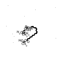 CC/C=C\C/C=C\C/C=C\CCCCCCCC(=O)OC[C@@H](C)O.C[N+](C)(C)CCOP(=O)(O)O